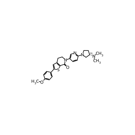 COc1ccc(-c2cc3c(s2)C(=O)N(c2ccc(N4CC[C@H](N(C)C)C4)nc2)CC3)cc1